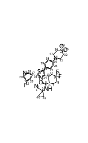 N#CC1(NC(=O)[C@@H]2CCC(F)(F)C[C@H]2c2nc(-c3cncc(F)c3)sc2-c2ccc(N3CCS(=O)(=O)CC3)cc2)CC1